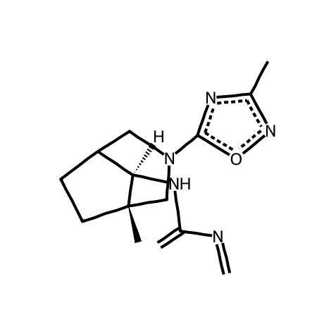 C=NC(=C)N[C@@H]1C2CC[C@@]1(C)CN(c1nc(C)no1)C2